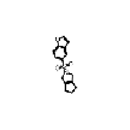 O=S(=O)(c1ccc2occc2c1)N1CC2=C(CCC2)C1